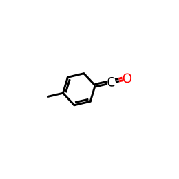 CC1=CCC(=C=O)C=C1